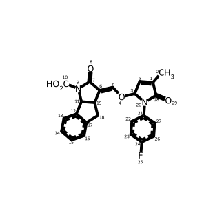 CC1=CC(OC=C2C(=O)N(C(=O)O)C3c4ccccc4CC23)N(c2ccc(F)cc2)C1=O